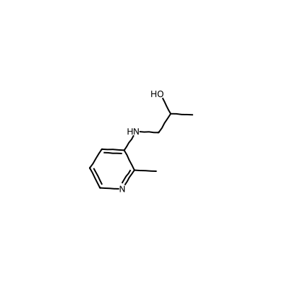 Cc1ncccc1NCC(C)O